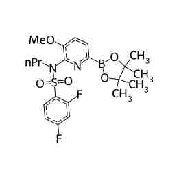 CCCN(c1nc(B2OC(C)(C)C(C)(C)O2)ccc1OC)S(=O)(=O)c1ccc(F)cc1F